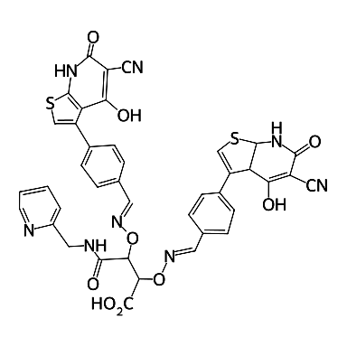 N#CC1=C(O)C2C(c3ccc(C=NOC(C(=O)O)C(ON=Cc4ccc(-c5csc6[nH]c(=O)c(C#N)c(O)c56)cc4)C(=O)NCc4ccccn4)cc3)=CSC2NC1=O